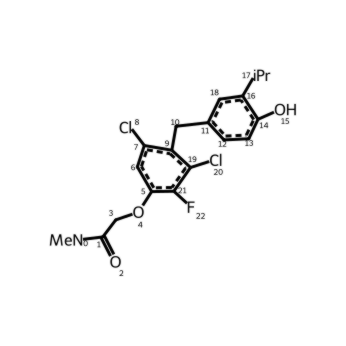 CNC(=O)COc1cc(Cl)c(Cc2ccc(O)c(C(C)C)c2)c(Cl)c1F